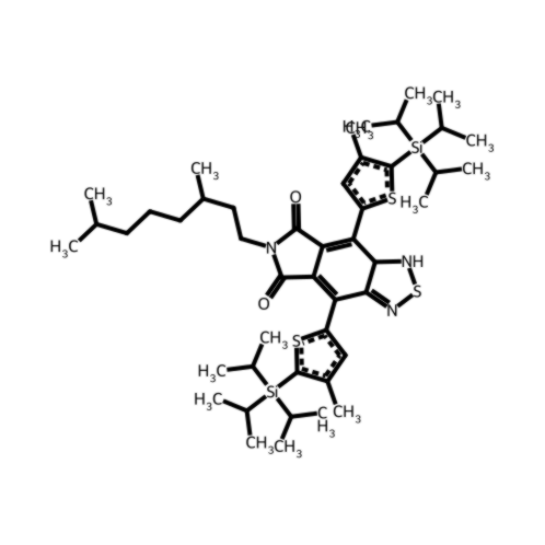 Cc1cc(C2=C3C(=O)N(CCC(C)CCCC(C)C)C(=O)C3=C(c3cc(C)c([Si](C(C)C)(C(C)C)C(C)C)s3)C3NSN=C23)sc1[Si](C(C)C)(C(C)C)C(C)C